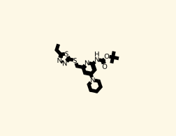 CCc1nnc(SCc2cc(N3CCCCC3)cc(NC(=O)OC(C)(C)C)n2)s1